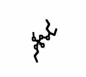 CCCOP(=O)(OC)OOC(CC)CCC